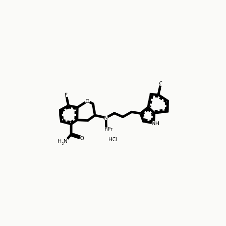 CCCN(CCCc1c[nH]c2ccc(Cl)cc12)C1COc2c(F)ccc(C(N)=O)c2C1.Cl